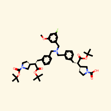 COc1cc(F)cc(CN(Cc2cccc(C[C@H](C(=O)OC(C)(C)C)[C@H]3CCN(C(=O)O)C3)c2)Cc2cccc(C[C@H](C(=O)OC(C)(C)C)[C@H]3CCN(C(=O)OC(C)(C)C)C3)c2)c1